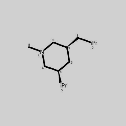 CC(C)C[C@H]1C[C@@H](C(C)C)CN(C)C1